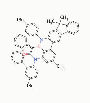 Cc1cc2c3c(c1)N(c1ccc(C(C)(C)C)cc1-c1ccccc1)c1oc4ccccc4c1B3N(c1ccc(C(C)(C)C)cc1)c1cc3c(cc1-2)-c1ccccc1C3(C)C